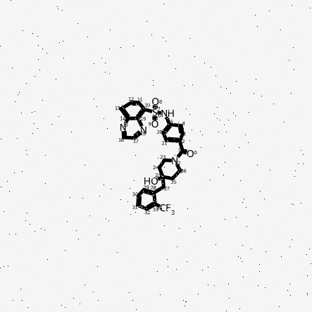 O=C(c1ccc(NS(=O)(=O)c2cccc3nccnc23)cc1)N1CCC(O)(Cc2ccccc2C(F)(F)F)CC1